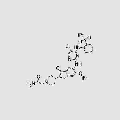 CC(C)Oc1cc2c(cc1Nc1ncc(Cl)c(Nc3ccccc3S(=O)(=O)C(C)C)n1)C(=O)N(C1CCN(CC(N)=O)CC1)C2